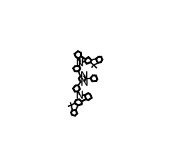 CC1(C)c2ccccc2-c2cc3c4ccccc4n(-c4cccc(-c5cc(-c6cccc(-n7c8ccccc8c8cc9c(cc87)C(C)(C)c7ccccc7-9)c6)nc(-c6ccccc6)n5)c4)c3cc21